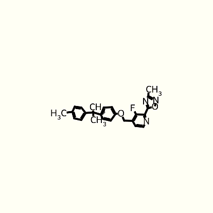 Cc1ccc(C(C)(C)c2ccc(OCc3ccnc(-c4nc(C)no4)c3F)cc2)cc1